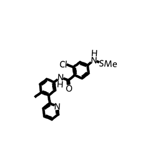 CSNc1ccc(C(=O)Nc2ccc(C)c(-c3ccccn3)c2)c(Cl)c1